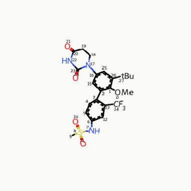 COc1c(-c2ccc(NS(C)(=O)=O)cc2C(F)(F)F)cc(N2CCC(=O)NC2=O)cc1C(C)(C)C